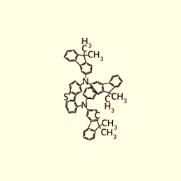 CC1(C)c2ccccc2-c2cc(N(c3ccc4c(c3)-c3ccccc3C4(C)C)c3ccc4sc5cccc(N(c6ccccc6)c6ccc7c(c6)-c6ccccc6C7(C)C)c5c4c3)ccc21